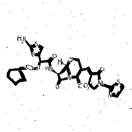 Nc1nc(C(=NOC2CCCC2)C(=O)N[C@@H]2C(=O)N3C(C(=O)O)=C(C=C4CCN(c5nccs5)C4=O)CS[C@H]23)cs1